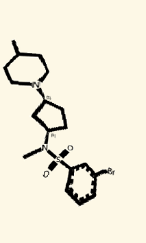 CC1CCN([C@H]2CC[C@@H](N(C)S(=O)(=O)c3cccc(Br)c3)C2)CC1